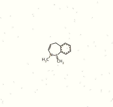 C=S1c2ccccc2CC=CN1C